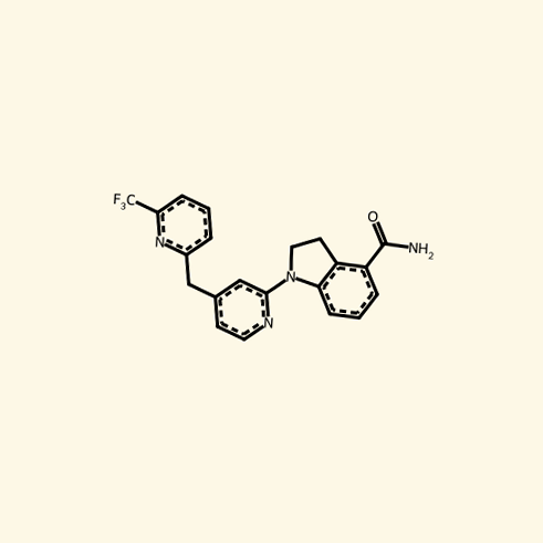 NC(=O)c1cccc2c1CCN2c1cc(Cc2cccc(C(F)(F)F)n2)ccn1